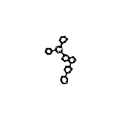 c1ccc(-c2nc(-c3ccccc3)nc(-c3ccc4c(-c5ccc(-c6cccnc6)cc5)cccc4c3)n2)cc1